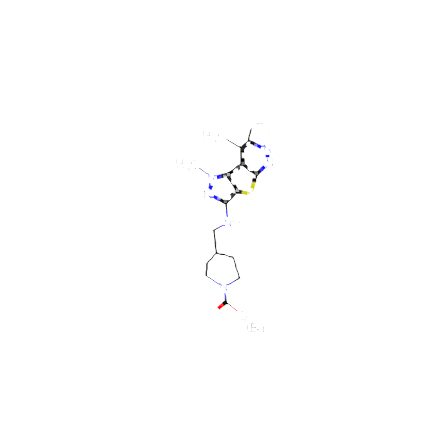 Cc1nnc2sc3c(NCC4CCN(C(=O)OC(C)(C)C)CC4)nn(C)c3c2c1C